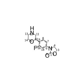 O=C1OCCN1c1ccc([C@@H]2CNCCO2)c(F)c1